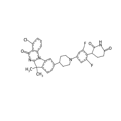 CC1(C)c2ccc(C3CCN(c4cc(F)c(C5CCC(=O)NC5=O)c(F)c4)CC3)cc2-n2c1nc(=O)c1c(Cl)cccc12